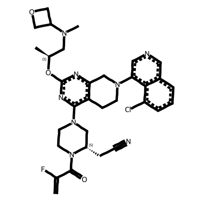 C=C(F)C(=O)N1CCN(c2nc(O[C@@H](C)CN(C)C3COC3)nc3c2CCN(c2cncc4cccc(Cl)c24)C3)C[C@@H]1CC#N